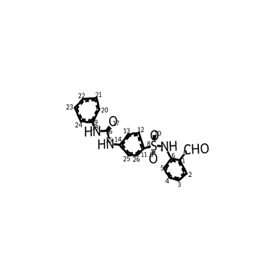 O=Cc1ccccc1NS(=O)(=O)c1ccc(NC(=O)Nc2ccccc2)cc1